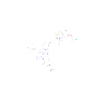 CC1CC(n2c(Nc3ccc(OC(F)(F)F)cc3)nc3cc(OCC(=O)Nc4cc(OC(F)F)ccc4Cl)ccc32)CC(C)(C)C1